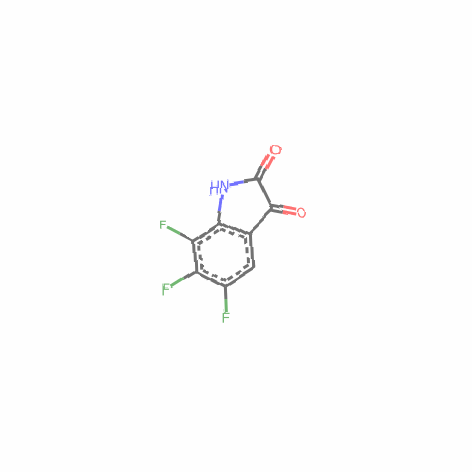 O=C1Nc2c(cc(F)c(F)c2F)C1=O